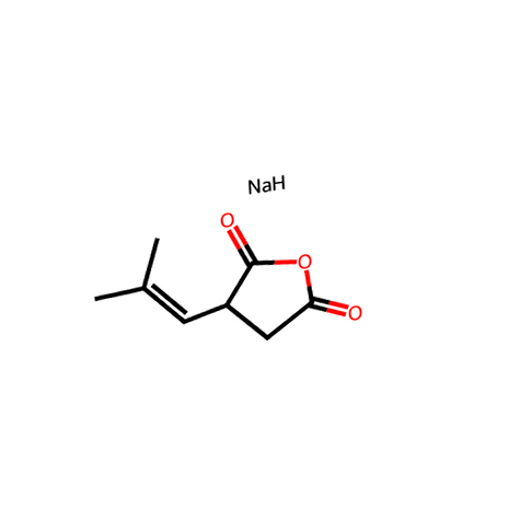 CC(C)=CC1CC(=O)OC1=O.[NaH]